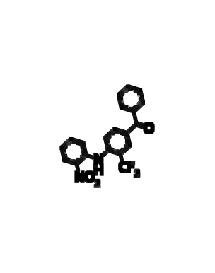 O=C(c1ccccc1)c1ccc(Nc2ccccc2[N+](=O)[O-])c(C(F)(F)F)c1